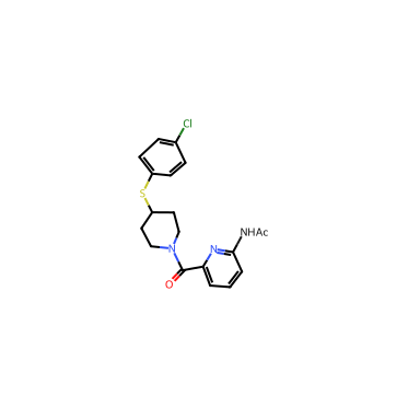 CC(=O)Nc1cccc(C(=O)N2CCC(Sc3ccc(Cl)cc3)CC2)n1